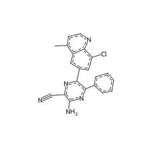 Cc1ccnc2c(Cl)cc(-c3nc(C#N)c(N)nc3-c3ccccc3)cc12